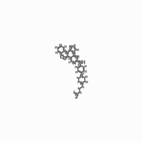 CN(C)CCCN1CCN(c2ccc(Nc3ncc4c(=O)n(-c5ccccc5Cl)c5nccn5c4n3)cc2)CC1